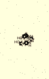 OC1CCN(c2ccc(Nc3nccc(N[C@H]4C5CC6CC4C[C@](O)(C6)C5)n3)cc2)C1